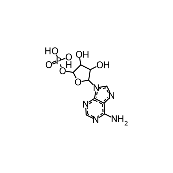 Nc1ncnc2c1ncn2C1OC(OP(=O)(O)O)C(O)C1O